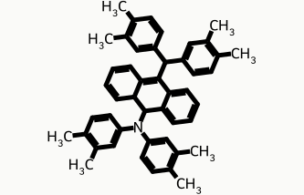 Cc1ccc(C(C2=C3C=CC=CC3C(N(c3ccc(C)c(C)c3)c3ccc(C)c(C)c3)c3ccccc32)c2ccc(C)c(C)c2)cc1C